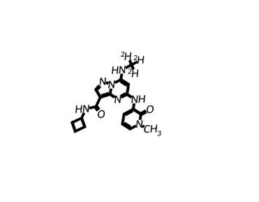 [2H]C([2H])([2H])Nc1cc(Nc2cccn(C)c2=O)nc2c(C(=O)NC3CCC3)cnn12